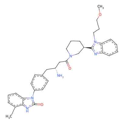 COCCCn1c([C@@H]2CCCN(C(=O)C[C@H](N)Cc3ccc(-n4c(=O)[nH]c5c(C)cccc54)cc3)C2)nc2ccccc21